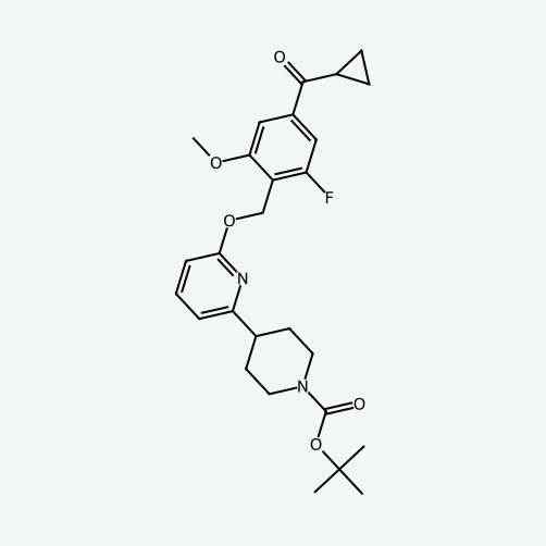 COc1cc(C(=O)C2CC2)cc(F)c1COc1cccc(C2CCN(C(=O)OC(C)(C)C)CC2)n1